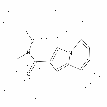 CON(C)C(=O)c1cc2ccccn2c1